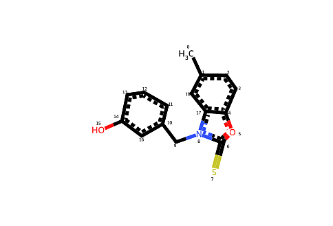 Cc1ccc2oc(=S)n(Cc3cccc(O)c3)c2c1